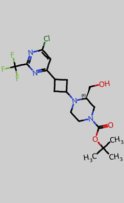 CC(C)(C)OC(=O)N1CCN(C2CC(c3cc(Cl)nc(C(F)(F)F)n3)C2)[C@@H](CO)C1